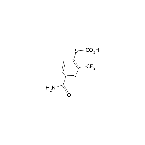 NC(=O)c1ccc(SC(=O)O)c(C(F)(F)F)c1